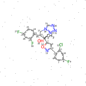 C[C@@H](c1cc(-c2ccc(F)cc2Cl)no1)[C@](O)(Cn1cnnn1)c1ccc(F)cc1F